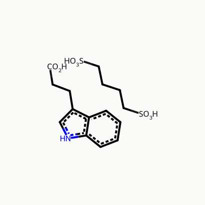 O=C(O)CCc1c[nH]c2ccccc12.O=S(=O)(O)CCCCS(=O)(=O)O